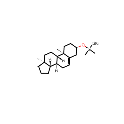 CC(C)(C)[Si](C)(C)O[C@H]1CC[C@@]2(C)C(=CC[C@H]3[C@@H]4CC[CH][C@@]4(C)CC[C@@H]32)C1